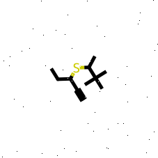 C#CC(CC)SC(C)C(C)(C)C